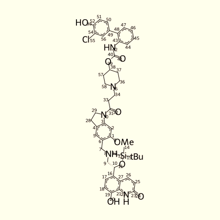 COc1cc2c(cc1CNC[C@H](O[Si](C)(C)C(C)(C)C)c1ccc(O)c3[nH]c(=O)ccc13)CCN2C(=O)CCN1CCC(OC(=O)Nc2ccccc2-c2ccc(O)c(Cl)c2)CC1